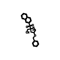 N#CCC1(S(=O)(=O)c2ccc3ccccc3c2)CC(OCc2ccccc2)CN1